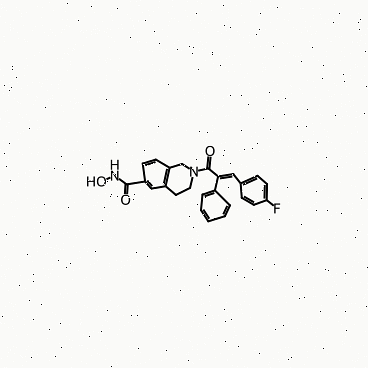 O=C(NO)c1ccc2c(c1)CCN(C(=O)/C(=C/c1ccc(F)cc1)c1ccccc1)C2